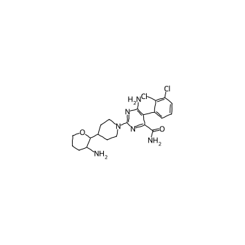 NC(=O)c1nc(N2CCC(C3OCCCC3N)CC2)nc(N)c1-c1cccc(Cl)c1Cl